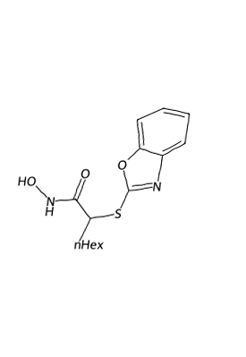 CCCCCCC(Sc1nc2ccccc2o1)C(=O)NO